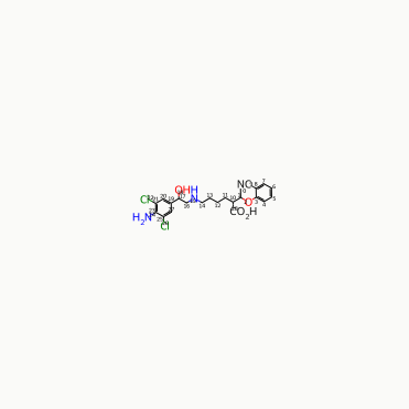 CC(Oc1ccccc1C#N)C(CCCCNCC(O)c1cc(Cl)c(N)c(Cl)c1)C(=O)O